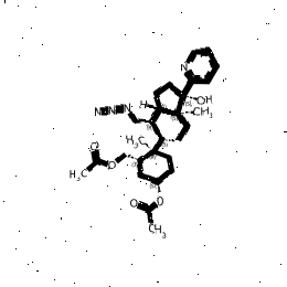 CC(=O)OC[C@H]1C[C@@H](OC(C)=O)CC[C@]1(C)[C@H]1CC[C@@]2(C)[C@@H](CC[C@@]2(O)c2ccccn2)[C@@H]1CN=[N+]=[N-]